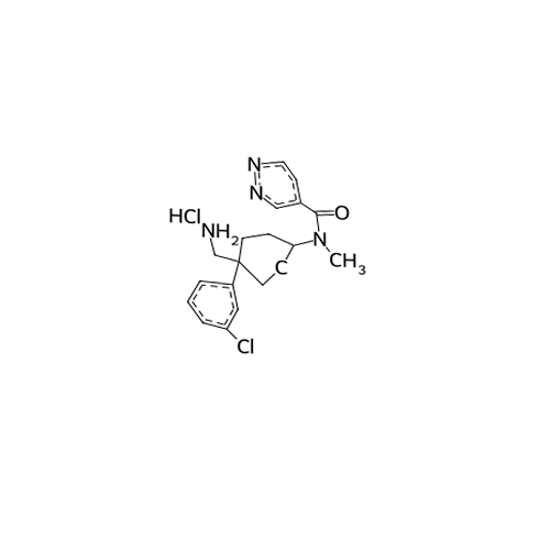 CN(C(=O)c1ccnnc1)C1CCC(CN)(c2cccc(Cl)c2)CC1.Cl